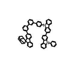 c1ccc(-n2c3ccccc3c3ccc(-c4ccc5c6ccccc6n(-c6ccc(-c7cccc(-c8cccc(-c9ccc%10c(c9)C9(c%11ccccc%11-%10)C%10CC%11CC(C%10)CC9C%11)c8)c7)cc6)c5c4)cc32)cc1